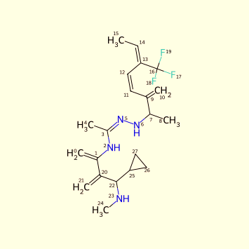 C=C(N/C(C)=N\NC(C)C(=C)/C=C\C(=C/C)C(F)(F)F)C(=C)C(NC)C1CC1